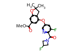 COC(=O)c1cc(Oc2cnc(C(=O)N3CC(F)C3)c(F)c2)c2c(c1)OC(C)(C)C2